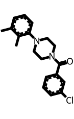 Cc1cccc(N2CCN(C(=O)c3cccc(Cl)c3)CC2)c1C